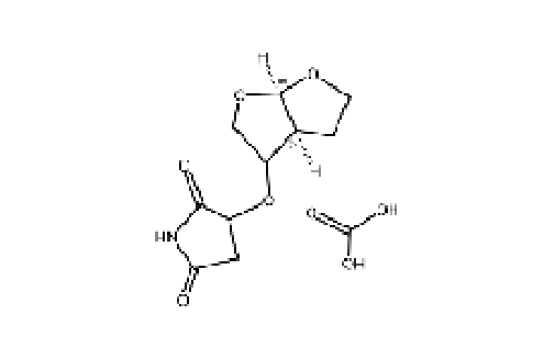 O=C(O)O.O=C1CC(OC2CO[C@H]3OCC[C@@H]23)C(=O)N1